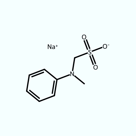 CN(CS(=O)(=O)[O-])c1ccccc1.[Na+]